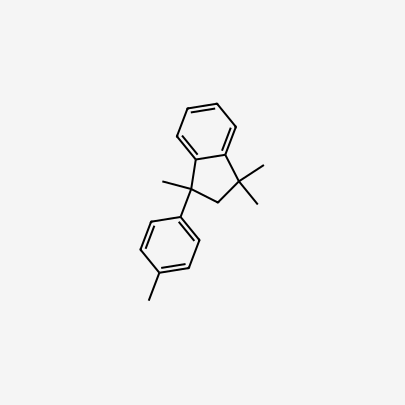 Cc1ccc(C2(C)CC(C)(C)c3ccccc32)cc1